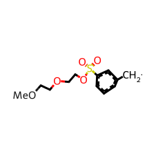 [CH2]c1cccc(S(=O)(=O)OCCOCCOC)c1